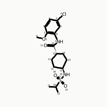 COc1ccc(Cl)cc1NC(=O)[C@H]1CC[C@H](NS(=O)(=O)C(C)C)CC1